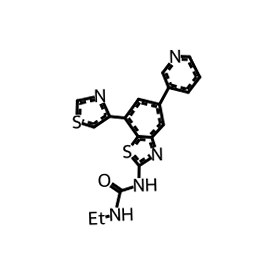 CCNC(=O)Nc1nc2cc(-c3cccnc3)cc(-c3cscn3)c2s1